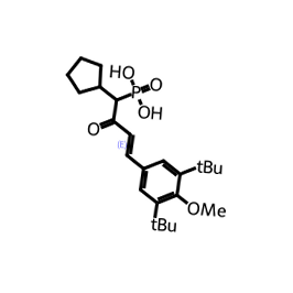 COc1c(C(C)(C)C)cc(/C=C/C(=O)C(C2CCCC2)P(=O)(O)O)cc1C(C)(C)C